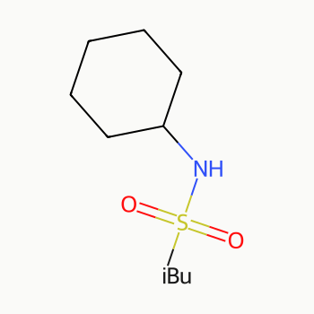 CCC(C)S(=O)(=O)NC1CCCCC1